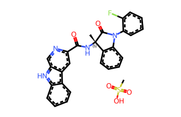 CS(=O)(=O)O.C[C@@]1(NC(=O)c2cc3c(cn2)[nH]c2ccccc23)C(=O)N(c2ccccc2F)c2ccccc21